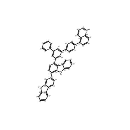 c1ccc(-c2cc(-c3ccc(-c4ccc5c(c4)oc4ccccc45)c4oc5ccccc5c34)nc(-c3ccc(-c4cccc5ncccc45)cc3)n2)cc1